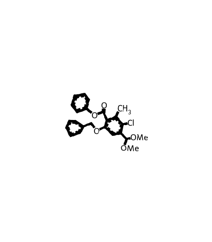 COC(OC)c1cc(OCc2ccccc2)c(C(=O)Oc2ccccc2)c(C)c1Cl